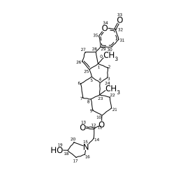 CC12CCC3C(CCC4CC(OC(=O)CN5CCC(O)C5)CCC43C)C1=CCC2c1ccc(=O)oc1